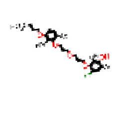 CCCc1c(O)c(C(C)=O)cc(Cl)c1OCCCOCCCOc1c(C(C)=O)ccc(OCCCC(=O)O)c1CCC